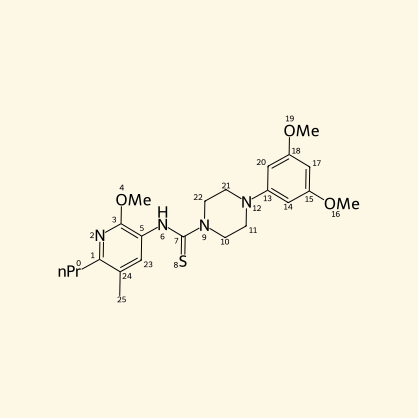 CCCc1nc(OC)c(NC(=S)N2CCN(c3cc(OC)cc(OC)c3)CC2)cc1C